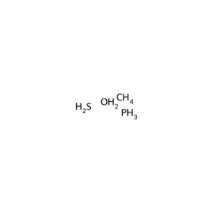 C.O.P.S